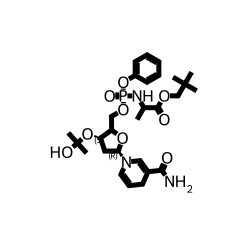 CC(NP(=O)(OCC1O[C@@H](N2C=CCC(C(N)=O)=C2)C[C@@H]1OC(C)(C)O)Oc1ccccc1)C(=O)OCC(C)(C)C